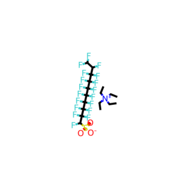 CC[N+](CC)(CC)CC.O=S(=O)([O-])C(F)C(F)(F)C(F)(F)C(F)(F)C(F)(F)C(F)(F)C(F)(F)C(F)(F)C(F)C(F)F